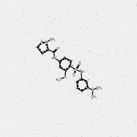 COc1cc(NC(=O)c2ccnn2C)ccc1S(=O)(=O)Nc1cccc(N(C)C)c1